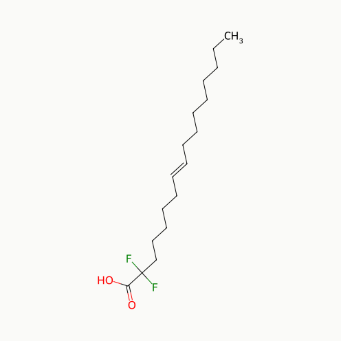 CCCCCCCC/C=C/CCCCCC(F)(F)C(=O)O